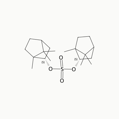 CC1(C)C2CCC1(C)[C@@H](OS(=O)(=O)O[C@H]1CC3CCC1(C)C3(C)C)C2